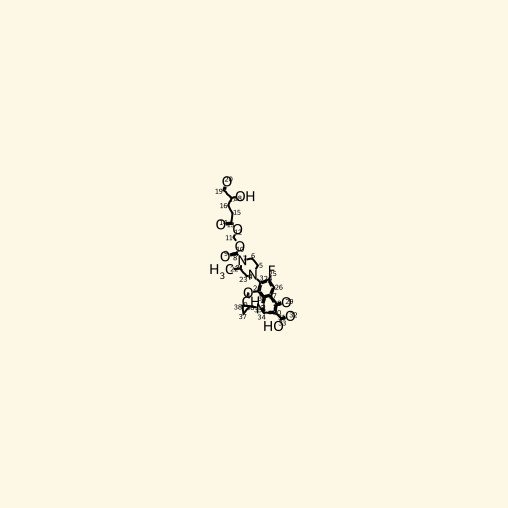 COc1c(N2CCN(C(=O)OCOC(=O)CCC(O)C=O)C(C)C2)c(F)cc2c(=O)c(C(=O)O)cn(C3CC3)c12